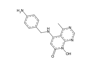 Cc1ncnc2c1c(NCc1ccc(N)cc1)cc(=O)n2O